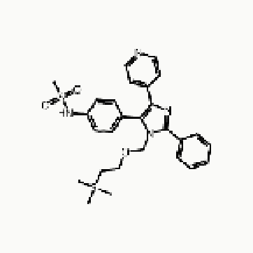 C[Si](C)(C)CCOCn1c(-c2ccccc2)nc(-c2ccncc2)c1-c1ccc(NS(C)(=O)=O)cc1